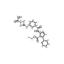 CCOC(=O)c1c(-c2ccccc2)csc1NC(=O)c1cccc(CN2CC(C(=O)O)C2)c1